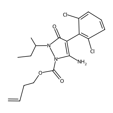 C=CCCOC(=O)n1c(N)c(-c2c(Cl)cccc2Cl)c(=O)n1C(C)CC